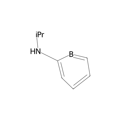 CC(C)Nc1bcccc1